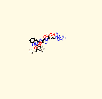 CC(C)(C)OC(=O)NC(CC1CCCCC1)c1nc(C(=O)N[C@@H](CCCNC(=N)N)C(=O)O)co1